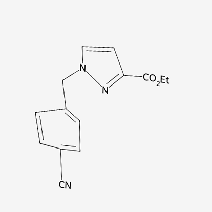 CCOC(=O)c1ccn(Cc2ccc(C#N)cc2)n1